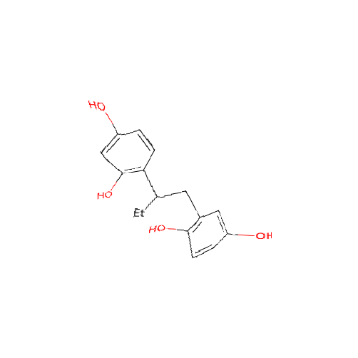 CCC(Cc1cc(O)ccc1O)c1ccc(O)cc1O